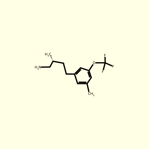 Cc1cc(CC[C@@H](C)CN)cc(OC(F)(F)F)c1